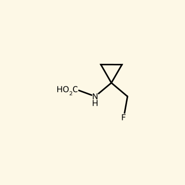 O=C(O)NC1(CF)CC1